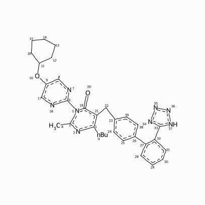 CCCCc1nc(C)n(-c2ncc(OC3CCCCC3)cn2)c(=O)c1Cc1ccc(-c2ccccc2-c2nnn[nH]2)cc1